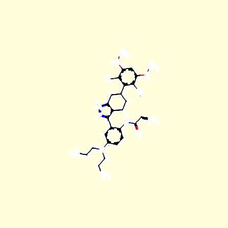 C=CC(=O)Nc1ccc(N(CCC)CCC)cc1-c1n[nH]c2c1CCC(c1c(Cl)c(OC)cc(OC)c1Cl)C2